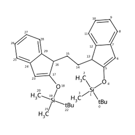 CC(C)(C)[Si](C)(C)OC1=Cc2ccccc2C1CCC1C(O[Si](C)(C)C(C)(C)C)=Cc2ccccc21